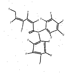 C=C(/C(F)=C(F)\C(F)=C(\F)CF)P(c1c(F)c(F)c(F)c(F)c1F)c1c(F)c(F)c(F)c(F)c1F